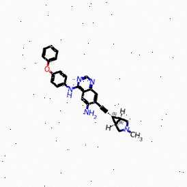 CN1C[C@@H]2[C@@H](C#Cc3cc4ncnc(Nc5ccc(Oc6ccccc6)cc5)c4cc3N)[C@@H]2C1